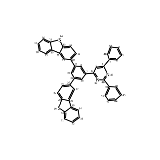 c1ccc(-c2cc(-c3cc(-c4ccc5sc6ccccc6c5c4)cc(-c4ccc5sc6ccccc6c5c4)c3)nc(-c3ccccc3)n2)cc1